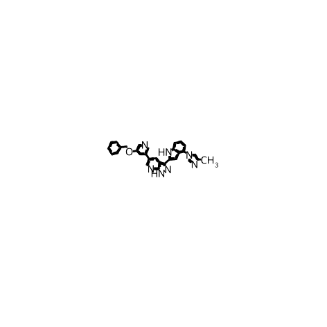 Cc1cn(-c2cccc3[nH]c(-c4n[nH]c5ncc(-c6cncc(OCc7ccccc7)c6)cc45)cc23)cn1